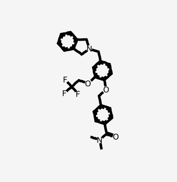 CN(C)C(=O)c1ccc(COc2ccc(CN3Cc4ccccc4C3)cc2OCC(F)(F)F)cc1